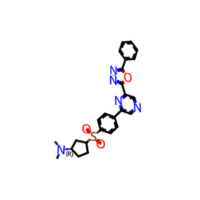 CN(C)[C@@H]1CCC(S(=O)(=O)c2ccc(-c3cncc(-c4nnc(-c5ccccc5)o4)n3)cc2)C1